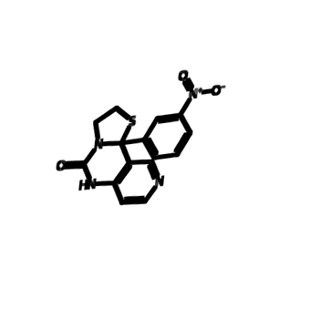 O=C1Nc2ccncc2C2(c3cccc([N+](=O)[O-])c3)SCCN12